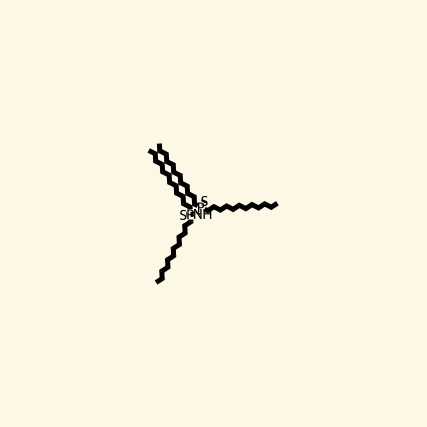 CCCCCCCCCCCCP(=S)(CCCCCCCCCCCC)NP(=S)(CCCCCCCCCCCC)CCCCCCCCCCCC